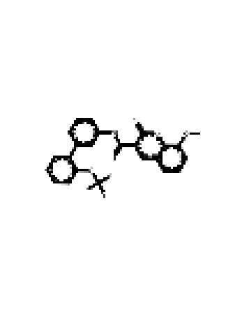 COc1cccc2cc(C(=O)Nc3cccc(-c4ccccc4OC(F)(F)F)c3)c(=O)oc12